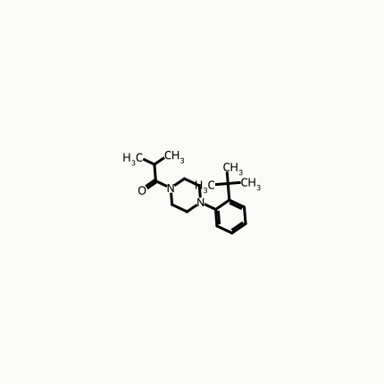 CC(C)C(=O)N1CCN(c2ccccc2C(C)(C)C)CC1